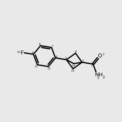 NC(=O)C12CC(c3ccc(F)cc3)(C1)C2